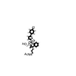 CC(=O)NCCC[C@@]1(c2ccccc2)C[C@]1(NS(=O)(=O)c1ccc(-c2ccc(Cl)cc2)s1)C(=O)O